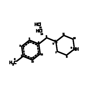 Cc1ccc(CN2CCNCC2)cc1.Cl.Cl